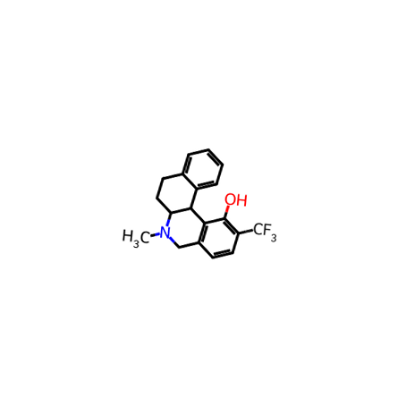 CN1Cc2ccc(C(F)(F)F)c(O)c2C2c3ccccc3CCC21